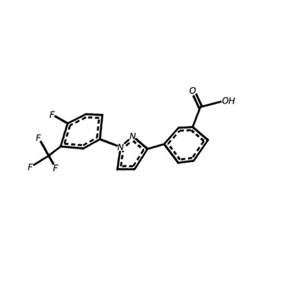 O=C(O)c1cccc(-c2ccn(-c3ccc(F)c(C(F)(F)F)c3)n2)c1